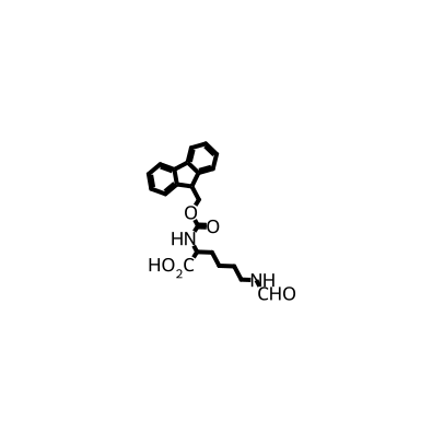 O=CNCCCCC(NC(=O)OCC1c2ccccc2-c2ccccc21)C(=O)O